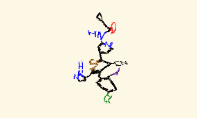 N#Cc1c(-c2ccnc(NC(=O)C3CC3)c2)sc(-c2ccn[nH]2)c1-c1ccc(Cl)cc1I